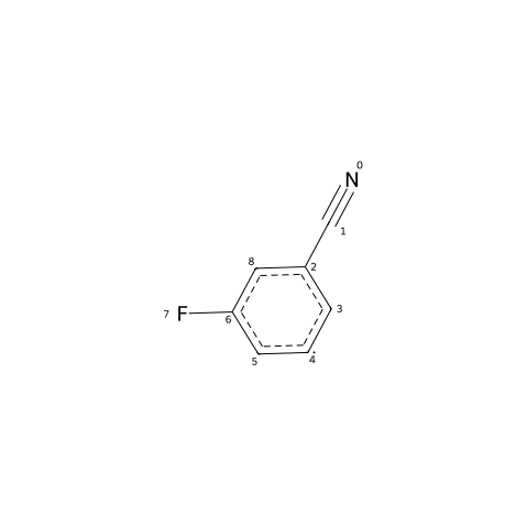 N#Cc1c[c]cc(F)c1